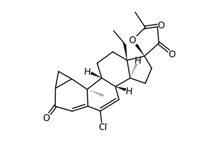 CC[C@]12CC[C@@H]3[C@@H](C=C(Cl)C4=CC(=O)C5CC5[C@]43C)[C@@H]1CC[C@@]2(OC(C)=O)C(C)=O